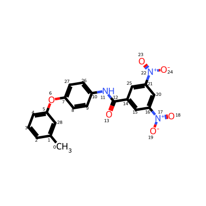 Cc1cccc(Oc2ccc(NC(=O)c3cc([N+](=O)[O-])cc([N+](=O)[O-])c3)cc2)c1